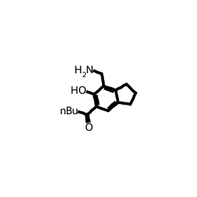 CCCCC(=O)c1cc2c(c(CN)c1O)CCC2